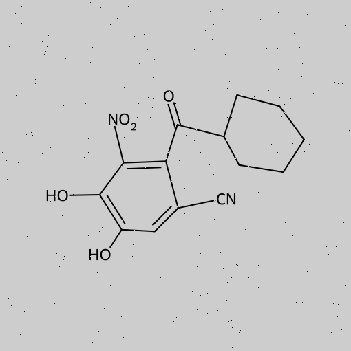 N#Cc1cc(O)c(O)c([N+](=O)[O-])c1C(=O)C1CCCCC1